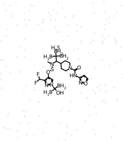 BC(B)(B)C(C1CCN(C(=O)Nc2ccon2)CC1)N(C)SOc1cn(C(B)(B)O)nc1C(F)F.S